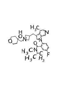 Cc1cncc2c1c(CC1CN(CC3(O)CCOCC3)C1)cn2-c1ccc(F)cc1C(=O)N(C)C(C)C